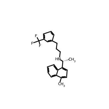 Cc1ccc([C@@H](C)NCCCc2cccc(C(F)(F)F)c2)c2ccccc12